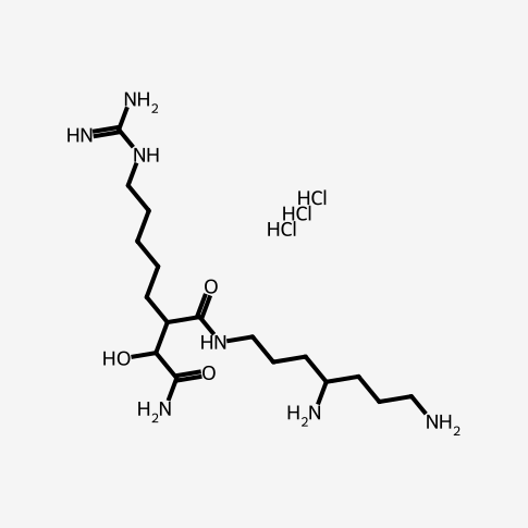 Cl.Cl.Cl.N=C(N)NCCCCCC(C(=O)NCCCC(N)CCCN)C(O)C(N)=O